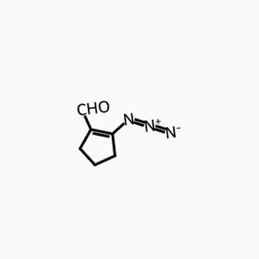 [N-]=[N+]=NC1=C(C=O)CCC1